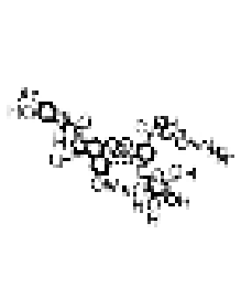 COc1ccc2c(OS(=O)(=O)Oc3cc(C(=O)N(C)CCOCCN=[N+]=[N-])ccc3O[C@@H]3O[C@H](CO)[C@H](O)[C@H](O)[C@H]3O)cc3c(c2c1)[C@H](CCl)CN3C(=O)c1cc2cc(C(C)=O)c(O)cc2[nH]1